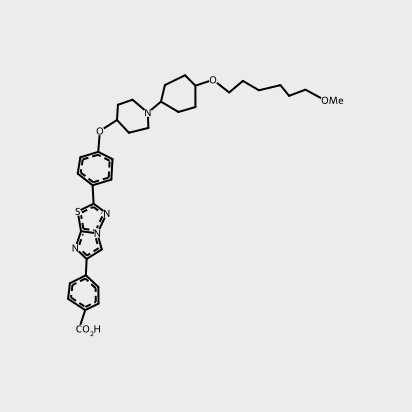 COCCCCCCOC1CCC(N2CCC(Oc3ccc(-c4nn5cc(-c6ccc(C(=O)O)cc6)nc5s4)cc3)CC2)CC1